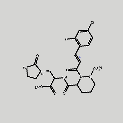 COC(=O)C(C[C@@H]1CCNC1=O)NC(=O)C1CCCN(C(=O)O)N1C(=O)/C=C/c1ccc(Cl)cc1F